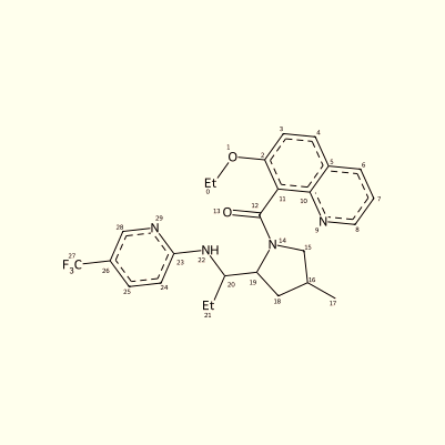 CCOc1ccc2cccnc2c1C(=O)N1CC(C)CC1C(CC)Nc1ccc(C(F)(F)F)cn1